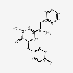 COC(=O)[C@H](Cc1ccc(Br)cc1)NC(=O)[C@@H](N)Cc1ccccc1